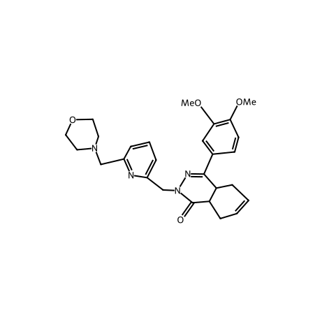 COc1ccc(C2=NN(Cc3cccc(CN4CCOCC4)n3)C(=O)C3CC=CCC23)cc1OC